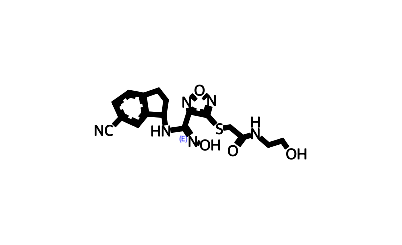 N#Cc1ccc2c(c1)C(N/C(=N/O)c1nonc1SCC(=O)NCCO)CC2